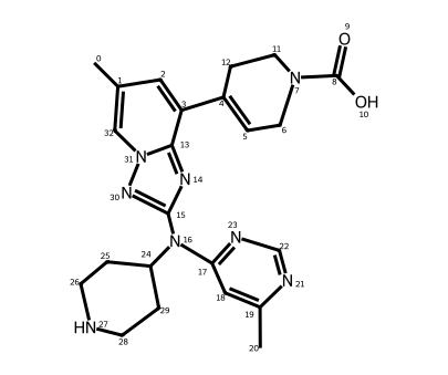 Cc1cc(C2=CCN(C(=O)O)CC2)c2nc(N(c3cc(C)ncn3)C3CCNCC3)nn2c1